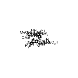 CC(C)OC(=O)c1cc(-c2nn(C)c(C(F)(F)F)c2Br)c(F)cc1Cl.COc1cc(OC)nc(NC(=O)NS(=O)(=O)c2ncccc2C(=O)N(C)C)n1.O=C(O)CNCP(=O)(O)O